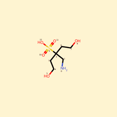 NCC(CCO)(CCO)S(=O)(=O)O